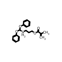 C=C(C)C(=O)OCCC[SiH2]C(Oc1ccccc1)Oc1ccccc1